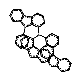 c1ccc(-n2c3ccccc3c3cccc(N(c4cccc5c4ccc4sc6ccccc6c45)c4cccc5sc6ccccc6c45)c32)cc1